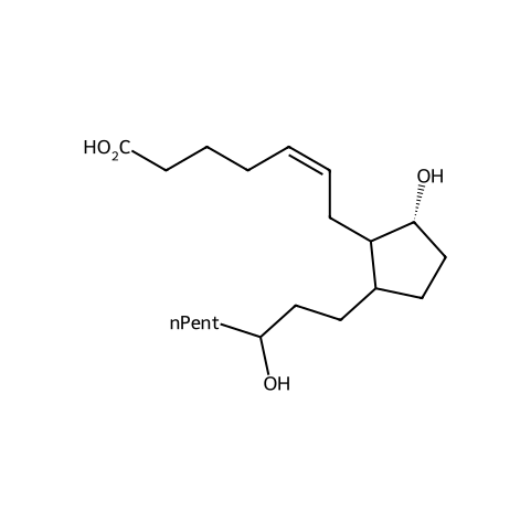 CCCCCC(O)CCC1CC[C@@H](O)C1C/C=C\CCCC(=O)O